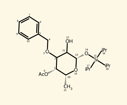 CC(=O)O[C@@H]1C(OCc2ccccc2)C(O)[C@H](O[Si](C(C)C)(C(C)C)C(C)C)O[C@@H]1C